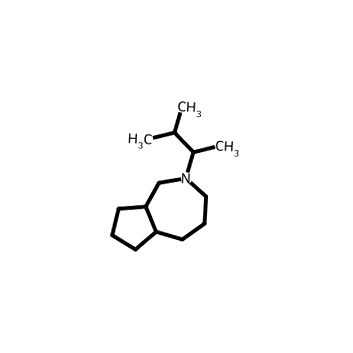 CC(C)C(C)N1CCCC2CCCC2C1